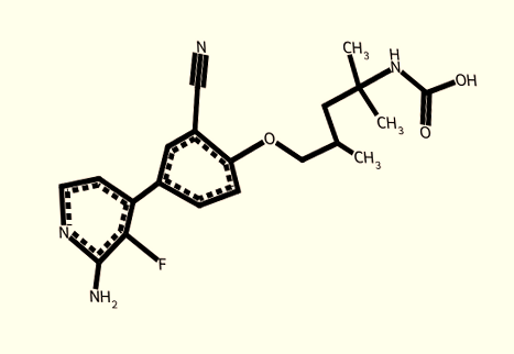 CC(COc1ccc(-c2ccnc(N)c2F)cc1C#N)CC(C)(C)NC(=O)O